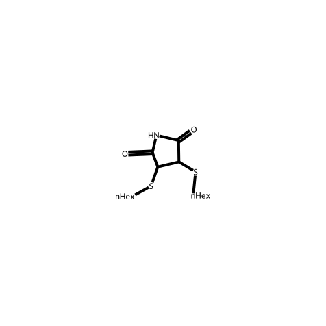 CCCCCCSC1C(=O)NC(=O)C1SCCCCCC